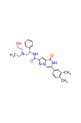 CCN(CCO)CC(NC(=O)c1cc2c(=O)[nH]c(-c3ccc(C)c(C)c3)cn2n1)c1ccccc1